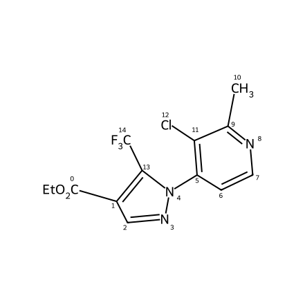 CCOC(=O)c1cnn(-c2ccnc(C)c2Cl)c1C(F)(F)F